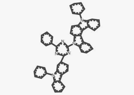 c1ccc(-c2nc(-c3ccc4c5ccccc5n(-c5ccccc5)c4c3)nc(-n3c4ccccc4c4c5c6ccccc6n(-c6ccccc6)c5ccc43)n2)cc1